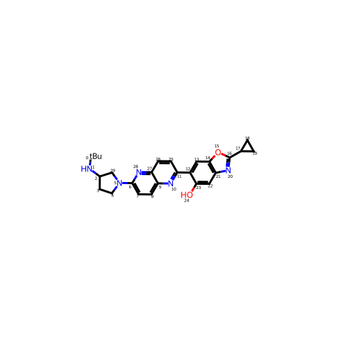 CC(C)(C)NC1CCN(c2ccc3nc(-c4cc5oc(C6CC6)nc5cc4O)ccc3n2)C1